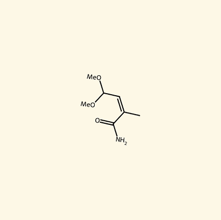 COC(C=C(C)C(N)=O)OC